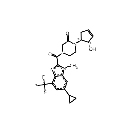 Cn1c(C(=O)N2CCN([C@H]3CC=C[C@@H]3O)C(=O)C2)nc2c(C(F)(F)F)cc(C3CC3)cc21